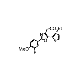 CCOC(=O)Cc1nc(-c2ccc(OC)c(F)c2)oc1-c1cccs1